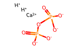 O=P([O-])([O-])OP(=O)([O-])[O-].[Ca+2].[H+].[H+]